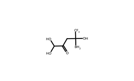 BC(O)(CC(=O)C(O)O)C(F)(F)F